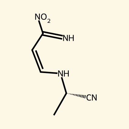 C[C@@H](C#N)N/C=C\C(=N)[N+](=O)[O-]